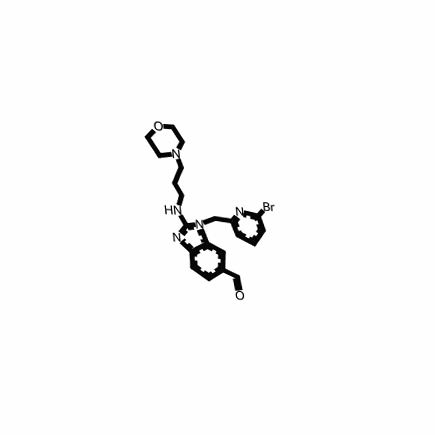 O=Cc1ccc2nc(NCCCN3CCOCC3)n(Cc3cccc(Br)n3)c2c1